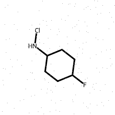 FC1CCC(NCl)CC1